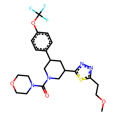 COCCc1nnc(C2CC(c3ccc(OC(F)(F)F)cc3)CN(C(=O)N3CCOCC3)C2)s1